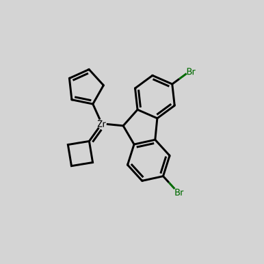 Brc1ccc2c(c1)-c1cc(Br)ccc1[CH]2[Zr]([C]1=CC=CC1)=[C]1CCC1